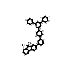 CC1(C)c2ccccc2-c2ccc(-c3cccc(-c4ccc(-c5cc(-c6ccccc6)cc(-c6ccccc6)n5)cc4)c3)cc21